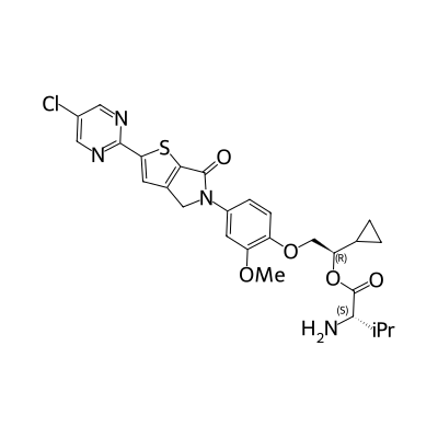 COc1cc(N2Cc3cc(-c4ncc(Cl)cn4)sc3C2=O)ccc1OC[C@H](OC(=O)[C@@H](N)C(C)C)C1CC1